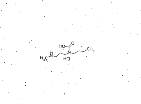 CCCCN(CCCNC)C(=O)O.Cl